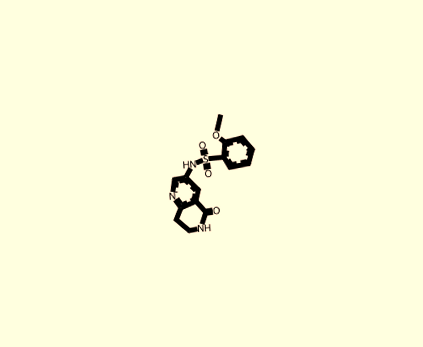 COc1ccccc1S(=O)(=O)Nc1cnc2c(c1)C(=O)NCC2